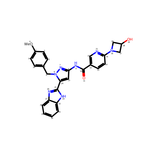 COc1ccc(Cn2nc(NC(=O)c3ccc(N4CC(O)C4)nc3)cc2-c2nc3ccccc3[nH]2)cc1